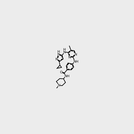 Cc1cnc(Nc2ccc(C(=O)NC3CCN(C)CC3)cc2)nc1Nc1cc(C2CC2)n[nH]1